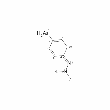 CN(C)N=C1C=CC([AsH2])=CC1